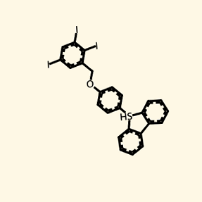 Ic1cc(I)c(I)c(COc2ccc([SH]3c4ccccc4-c4ccccc43)cc2)c1